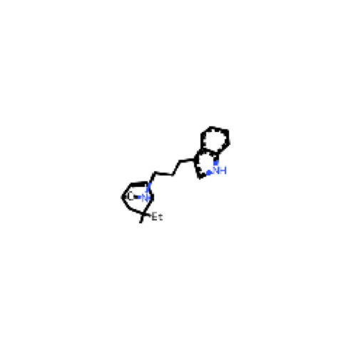 CCC1(C)CC2C=CC1N(CCCc1c[nH]c3ccccc13)C2